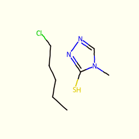 CCCCCCl.Cn1cnnc1S